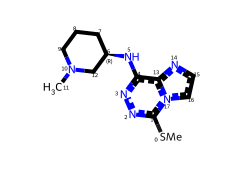 CSc1nnc(N[C@@H]2CCCN(C)C2)c2nccn12